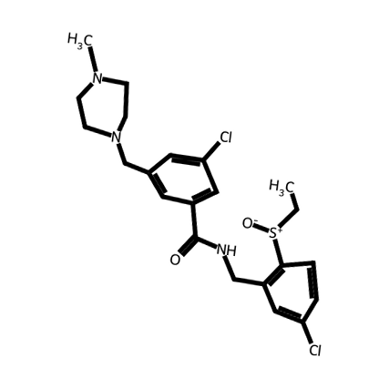 CC[S+]([O-])c1ccc(Cl)cc1CNC(=O)c1cc(Cl)cc(CN2CCN(C)CC2)c1